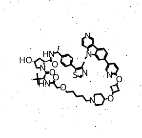 Cc1ncsc1-c1ccc([C@H](C)NC(=O)[C@@H]2C[C@@H](O)CN2C(=O)[C@@H](NC(=O)COCCCCCN2CCC(OC3CC(Oc4ccc(-c5ccc6c7cnccc7n(C)c6c5)cn4)C3)CC2)C(C)(C)C)cc1